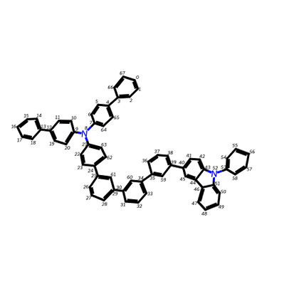 c1ccc(-c2ccc(N(c3ccc(-c4ccccc4)cc3)c3ccc(-c4cccc(-c5cccc(-c6cccc(-c7ccc8c(c7)c7ccccc7n8-c7ccccc7)c6)c5)c4)cc3)cc2)cc1